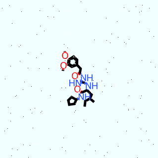 CCC(C)CC(NC(=N)NC(=O)Cc1ccc(OC)c(OC)c1)C(=O)NC1CCCC1